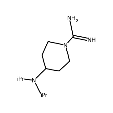 CC(C)N(C(C)C)C1CCN(C(=N)N)CC1